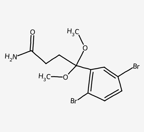 COC(CCC(N)=O)(OC)c1cc(Br)ccc1Br